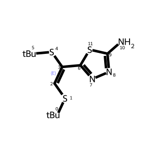 CC(C)(C)S/C=C(/SC(C)(C)C)c1nnc(N)s1